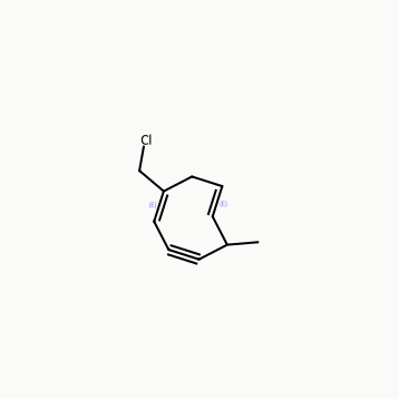 CC1C#C/C=C(/CCl)C/C=C/1